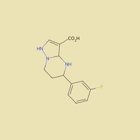 O=C(O)C1=CNN2CCC(c3cccc(F)c3)NC12